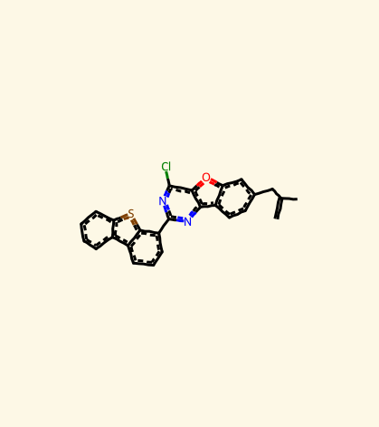 C=C(C)Cc1ccc2c(c1)oc1c(Cl)nc(-c3cccc4c3sc3ccccc34)nc12